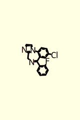 Fc1ccccc1C1=NCc2nccn2-c2ccc(Cl)cc21